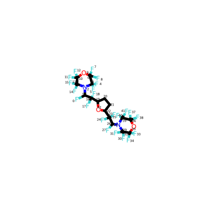 FC(N1C(F)(F)C(F)(F)OC(F)(F)C1(F)F)C(F)(F)C1CCC(C(F)(F)C(F)N2C(F)(F)C(F)(F)OC(F)(F)C2(F)F)O1